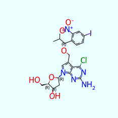 CC(C)[C@@H](OCc1cn([C@H]2C[C@@H](O)[C@@H](CO)O2)c2nc(N)nc(Cl)c12)c1ccc(I)cc1[N+](=O)[O-]